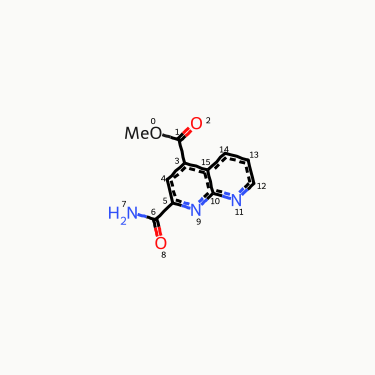 COC(=O)c1cc(C(N)=O)nc2ncccc12